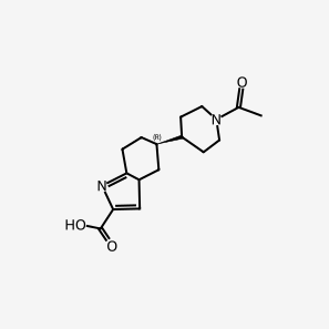 CC(=O)N1CCC([C@@H]2CCC3=NC(C(=O)O)=CC3C2)CC1